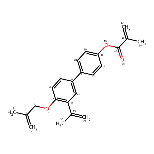 C=C(C)COc1ccc(-c2ccc(OC(=O)C(=C)C)cc2)cc1C(=C)C